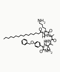 CCCCCCCCCCCCCCCC(=O)N[C@@H](CCCCN)C(=O)N[C@@H](C)C(=O)N[C@@H](C)C(=O)N[C@H](C(N)=O)c1ccc(OCc2ccccc2)cc1